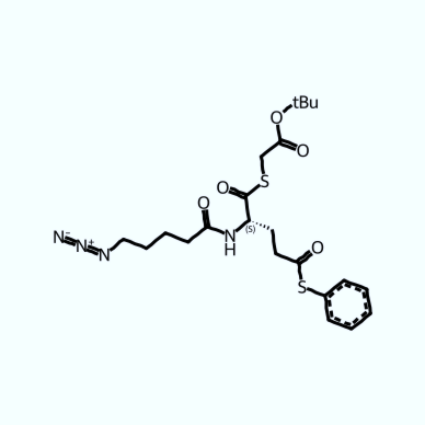 CC(C)(C)OC(=O)CSC(=O)[C@H](CCC(=O)Sc1ccccc1)NC(=O)CCCCN=[N+]=[N-]